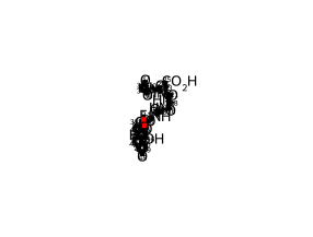 CCC(=O)O[C@]1(C(=O)COCNC(=O)CNC(=O)[C@H](C)NC(=O)[C@H](CCC(=O)O)NC(=O)CCN2C(=O)C=CC2=O)[C@@H](C)CC2[C@@H]3CCC4=CC(=O)C=C[C@]4(C)[C@@]3(Cl)[C@@H](O)C[C@@]21C